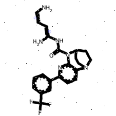 N/C=C\C=C(/N)NC(=O)N1c2nc(-c3cccc(C(F)(F)F)c3)ccc2N2CCC1CC2